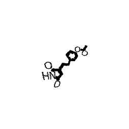 CC(=O)Oc1ccc(CCC2=CC(=O)NC2=O)cc1